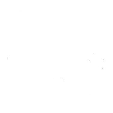 CCCCCc1ccc(C=CC(=O)Nc2cccc3c2OC(c2nnn[nH]2)CO3)cc1C